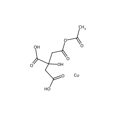 CC(=O)OC(=O)CC(O)(CC(=O)O)C(=O)O.[Cu]